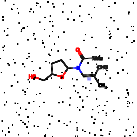 CNC(=O)N(/C=C(/C)C=O)C1CCC(CO)O1